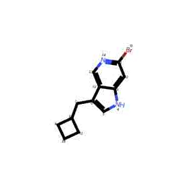 Brc1cc2[nH]cc(CC3CCC3)c2cn1